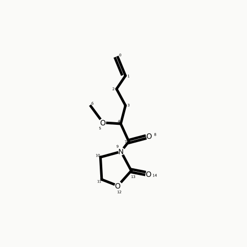 C=CCCC(OC)C(=O)N1CCOC1=O